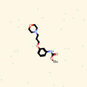 CC(C)(C)OC(=O)Nc1cccc(OCCCN2CCOCC2)c1